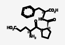 N[C@@H](CCC(=O)O)C(=O)N1CCC[C@H]1C(=O)N[C@@H](Cc1ccccc1)C(=O)O